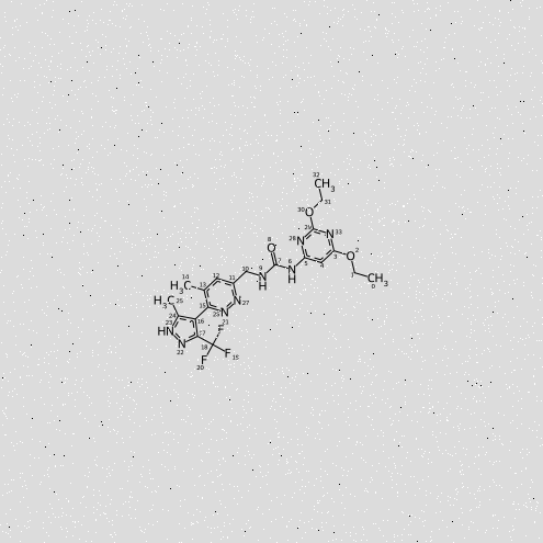 CCOc1cc(NC(=O)NCc2cc(C)c(-c3c(C(F)(F)F)n[nH]c3C)nn2)nc(OCC)n1